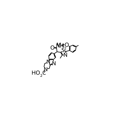 COc1cc(C)ccc1-c1nc(C)c(C(C(N)=O)c2ccc3c(c2)nc2n3CCN(C(=O)O)C2)s1